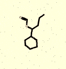 CCCC(O[C]=O)C1CCCCC1